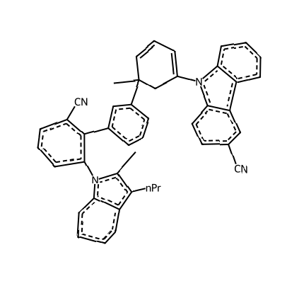 CCCc1c(C)n(-c2cccc(C#N)c2-c2cccc(C3(C)C=CC=C(n4c5ccccc5c5cc(C#N)ccc54)C3)c2)c2ccccc12